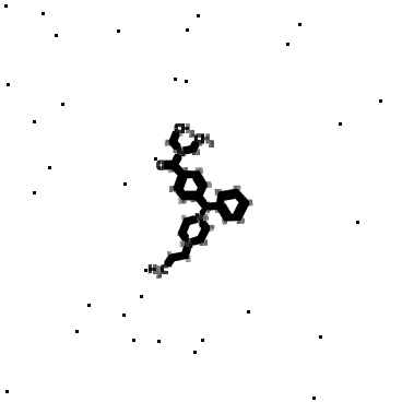 CCCN1CCN([C@H](c2c[c]ccc2)c2ccc(C(=O)N(CC)CC)cc2)CC1